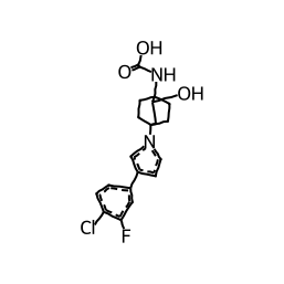 O=C(O)NC12CCC(n3ccc(-c4ccc(Cl)c(F)c4)c3)(CC1)CC2O